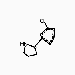 Clc1cccc([C]2CCCN2)c1